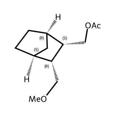 COC[C@@H]1[C@H]2CC[C@H](C2)[C@@H]1COC(C)=O